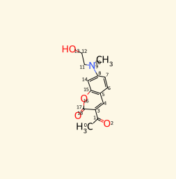 CC(=O)c1cc2ccc(N(C)CCO)cc2oc1=O